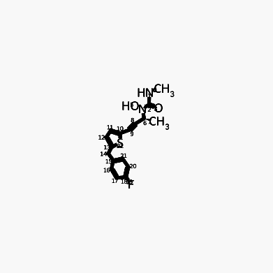 CNC(=O)N(O)[C@H](C)C#Cc1ccc(Cc2ccc(F)cc2)s1